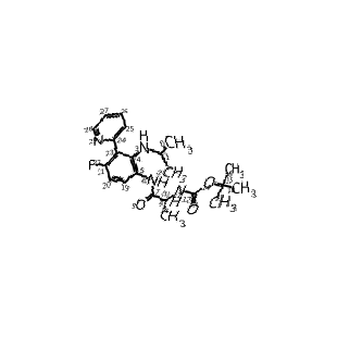 CC(C)Nc1c(NC(=O)[C@H](C)NC(=O)OC(C)(C)C)ccc(F)c1-c1ccccn1